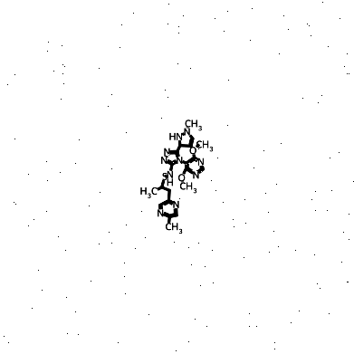 COc1ncnc(OC)c1-n1c(NSC(C)Cc2cnc(C)cn2)nnc1C1C=CN(C)N1